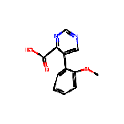 COc1ccccc1-c1cncnc1C(=O)O